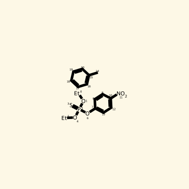 CCOP(=S)(OCC)Oc1ccc([N+](=O)[O-])cc1.Cc1ccccc1